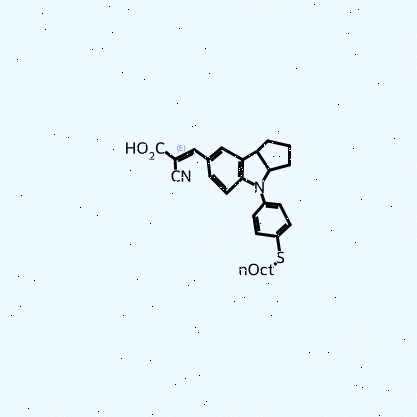 CCCCCCCCSc1ccc(N2c3ccc(/C=C(\C#N)C(=O)O)cc3C3CCCC32)cc1